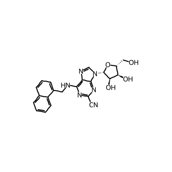 N#Cc1nc(NCc2cccc3ccccc23)c2ncn([C@@H]3O[C@H](CO)[C@@H](O)[C@H]3O)c2n1